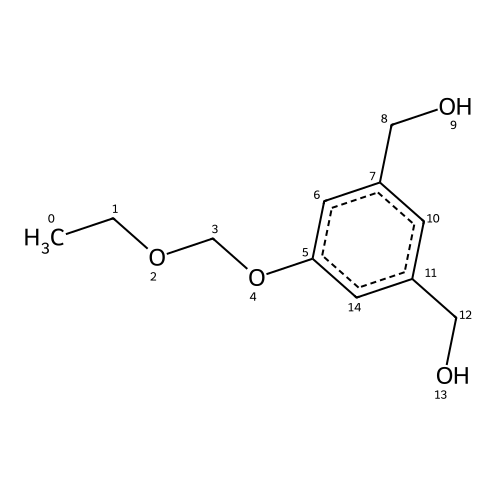 CCOCOc1cc(CO)cc(CO)c1